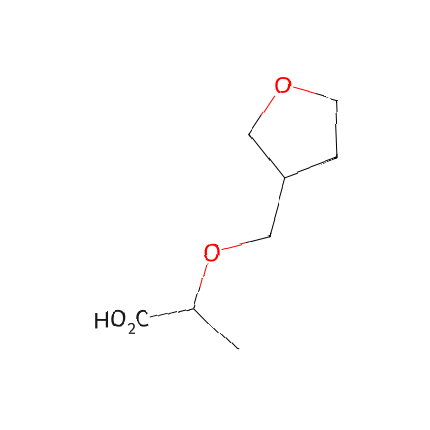 CC(OCC1CCOC1)C(=O)O